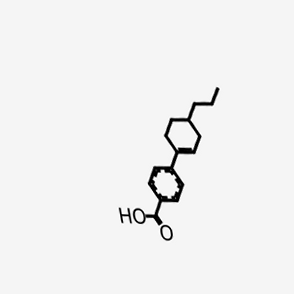 CCCC1CC=C(c2ccc(C(=O)O)cc2)CC1